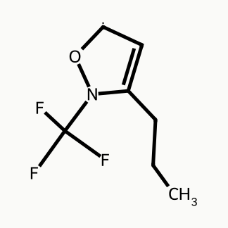 CCCC1=C[CH]ON1C(F)(F)F